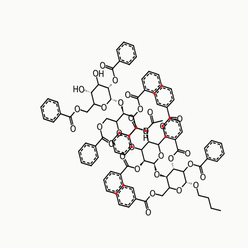 CCCCO[C@@H]1OC(COC(=O)c2ccccc2)[C@@H](O[C@@H]2OC(COC(=O)c3ccccc3)[C@H](OC(=O)c3ccccc3)C(O[C@@H]3OC(COC(=O)c4ccccc4)[C@@H](O[C@@H]4OC(COC(=O)c5ccccc5)[C@H](O)C(O)[C@@H]4OC(=O)c4ccccc4)C(OC(=O)c4ccccc4)[C@@H]3NC(C)=O)[C@@H]2OC(=O)c2ccccc2)[C@H](OC(=O)c2ccccc2)C1OC(=O)c1ccccc1